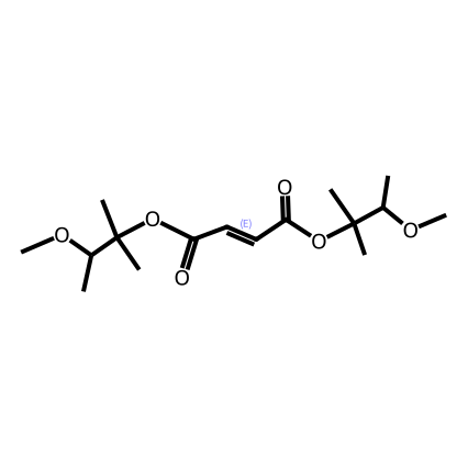 COC(C)C(C)(C)OC(=O)/C=C/C(=O)OC(C)(C)C(C)OC